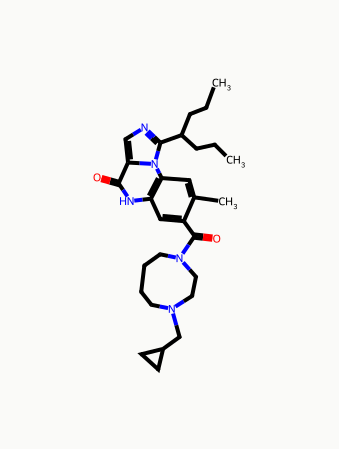 CCCC(CCC)c1ncc2c(=O)[nH]c3cc(C(=O)N4CCCCN(CC5CC5)CC4)c(C)cc3n12